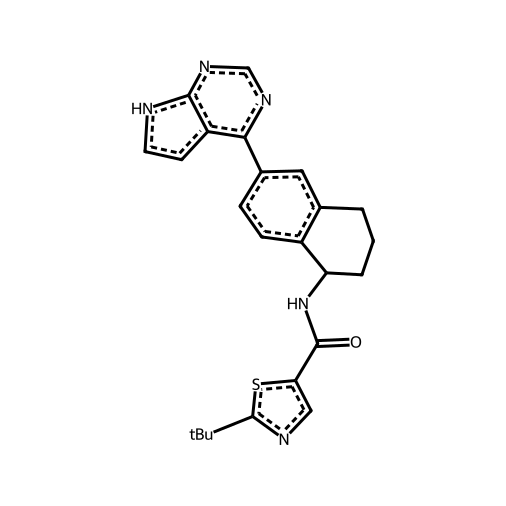 CC(C)(C)c1ncc(C(=O)NC2CCCc3cc(-c4ncnc5[nH]ccc45)ccc32)s1